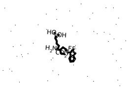 NC(CCCCB(O)O)(C(=O)O)C1CCN(C2c3ccccc3CC2(F)F)CC1